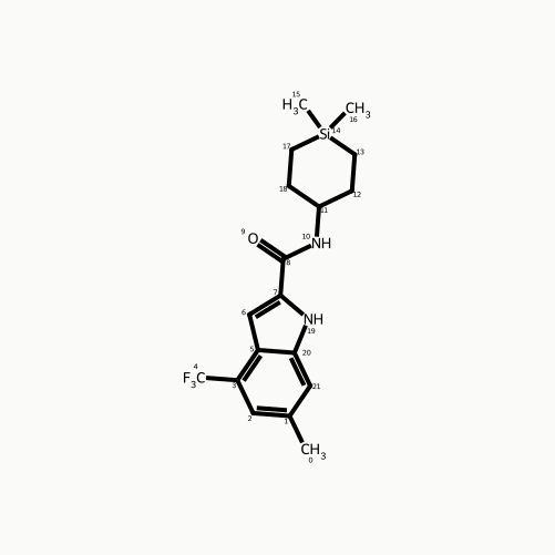 Cc1cc(C(F)(F)F)c2cc(C(=O)NC3CC[Si](C)(C)CC3)[nH]c2c1